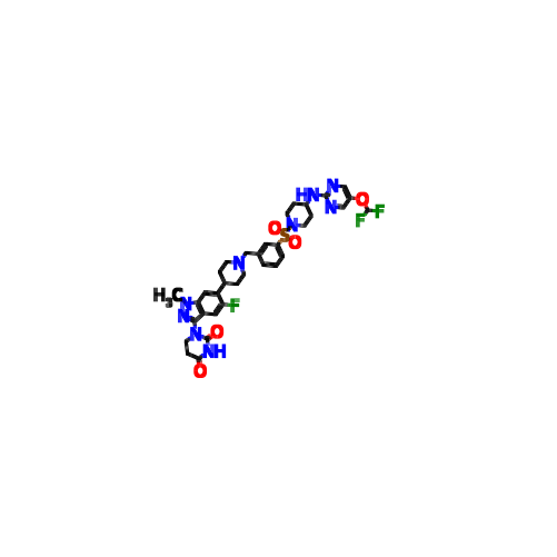 Cn1nc(N2CCC(=O)NC2=O)c2cc(F)c(C3CCN(Cc4cccc(S(=O)(=O)N5CCC(Nc6ncc(OC(F)F)cn6)CC5)c4)CC3)cc21